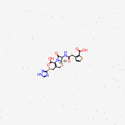 O=C(Cc1ccsc1C(=O)O)NC1C(=O)N2C(C(=O)O)=C(CSc3nc[nH]n3)CS[C@H]12